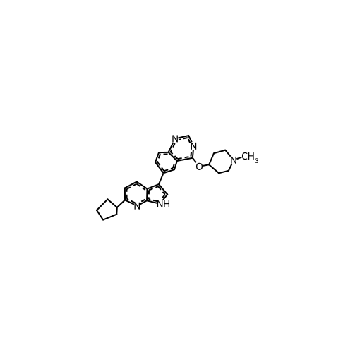 CN1CCC(Oc2ncnc3ccc(-c4c[nH]c5nc(C6CCCC6)ccc45)cc23)CC1